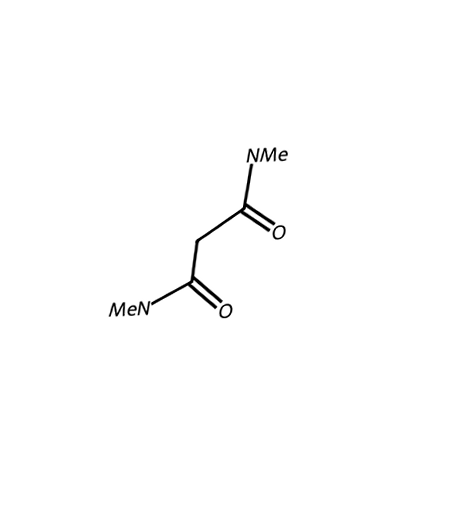 CNC(=O)CC(=O)NC